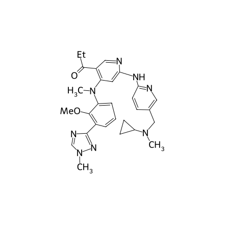 CCC(=O)c1cnc(Nc2ccc(CN(C)C3CC3)cn2)cc1N(C)c1cccc(-c2ncn(C)n2)c1OC